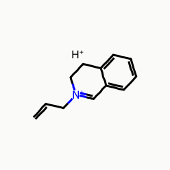 C=CC[N+]1=Cc2ccccc2CC1.[H+]